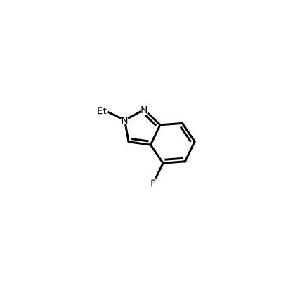 CCn1cc2c(F)[c]ccc2n1